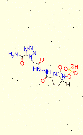 NC(=O)c1nnnn1CC(=O)NNC(=O)[C@@H]1CC[C@@H]2CN1C(=O)N2OS(=O)(=O)O